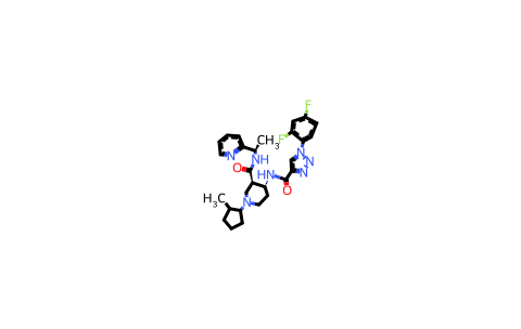 CC1CCCC1N1CC[C@@H](NC(=O)c2cn(-c3ccc(F)cc3F)nn2)[C@H](C(=O)N[C@H](C)c2ccccn2)C1